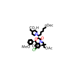 CCCCCCCCCCCCCCCC([C@H]1O[C@H](c2cccc(OC)c2OC)c2cc(Cl)ccc2N(CC(C)(C)COC(C)=O)C1=O)N1CCC(CC(=O)O)CC1